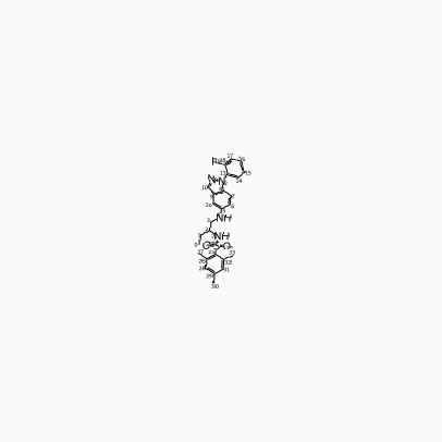 CCC(CNc1ccc2c(cnn2-c2ccccc2F)c1)NS(=O)(=O)c1c(C)cc(C)cc1C